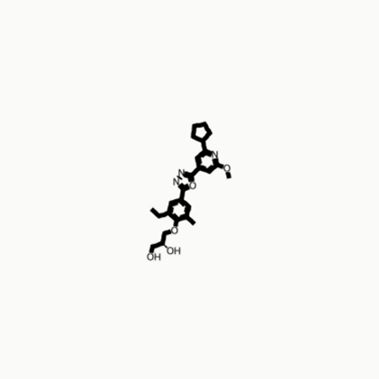 CCc1cc(-c2nnc(-c3cc(OC)nc(C4CCCC4)c3)o2)cc(C)c1OC[C@H](O)CO